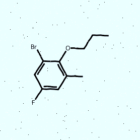 CCCOc1c(C)cc(F)cc1Br